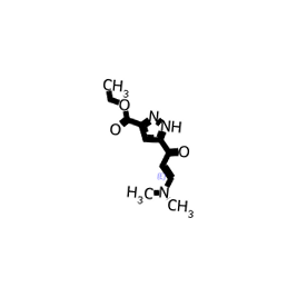 CCOC(=O)c1cc(C(=O)/C=C/N(C)C)[nH]n1